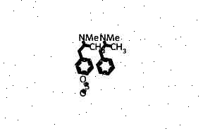 CNC(C)Cc1ccccc1.CNC(C)Cc1ccccc1.O=S=O